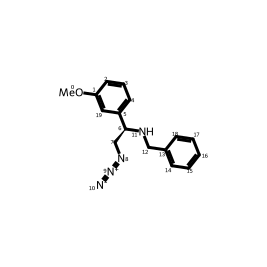 COc1cccc([C@H](CN=[N+]=[N-])NCc2ccccc2)c1